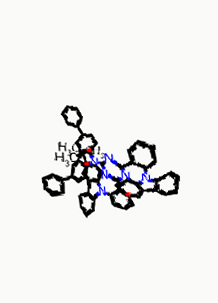 CC(C)(C)c1ccc2c(c1)c1ccccc1n2-c1ccccc1-c1nc(-c2ccccc2-n2c3ccccc3c3ccccc32)nc(-n2c3ccc(-c4ccccc4)cc3c3cc(-c4ccccc4)ccc32)n1